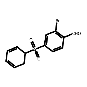 O=Cc1ccc(S(=O)(=O)C2C=CC=CC2)cc1Br